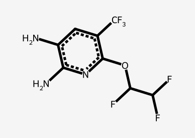 Nc1cc(C(F)(F)F)c(OC(F)C(F)F)nc1N